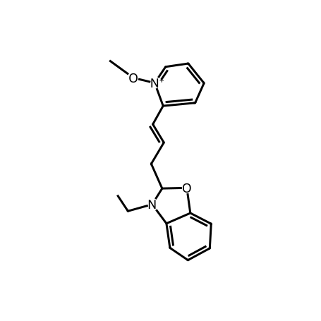 CCN1c2ccccc2OC1CC=Cc1cccc[n+]1OC